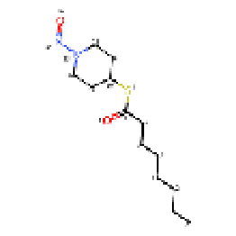 CCCCCCCC(=O)SC1CCN(N=O)CC1